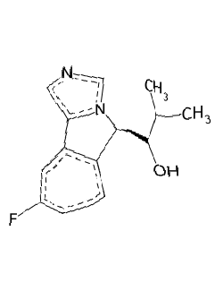 CC(C)C(O)[C@H]1c2ccc(F)cc2-c2cncn21